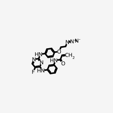 C=CC(=O)Nc1cccc(Nc2nc(Nc3ccc(OCCN=[N+]=[N-])cc3)ncc2F)c1